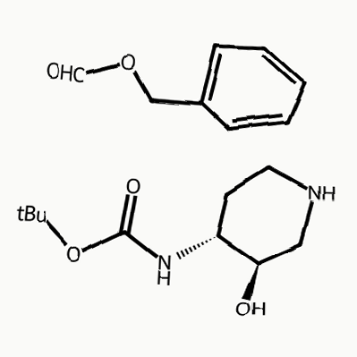 CC(C)(C)OC(=O)N[C@@H]1CCNC[C@H]1O.O=COCc1ccccc1